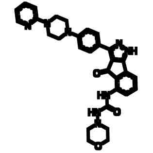 O=C(Nc1cccc2c1C(=O)c1c(-c3ccc(N4CCN(c5ccccn5)CC4)cc3)n[nH]c1-2)NN1CCOCC1